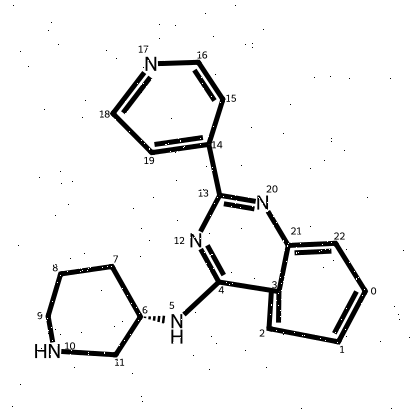 c1ccc2c(N[C@H]3CCCNC3)nc(-c3ccncc3)nc2c1